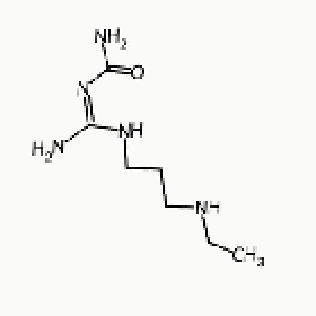 CCNCCCN/C(N)=N\C(N)=O